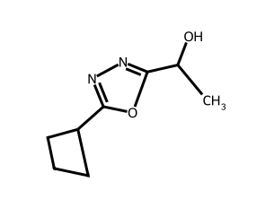 CC(O)c1nnc(C2CCC2)o1